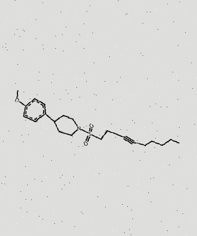 CCCCCC#C[CH]CS(=O)(=O)N1CCC(c2ccc(OC)cc2)CC1